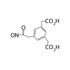 O=NC(=O)Cc1cc(CC(=O)O)cc(CC(=O)O)c1